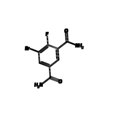 NC(=O)c1cc(Br)c(F)c(C(N)=O)c1